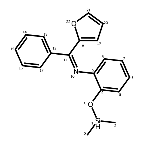 C[SiH](C)Oc1ccccc1N=C(c1ccccc1)c1ccco1